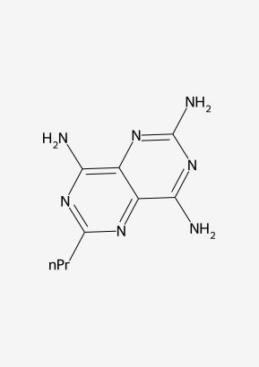 CCCc1nc(N)c2nc(N)nc(N)c2n1